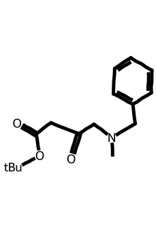 CN(CC(=O)CC(=O)OC(C)(C)C)Cc1ccccc1